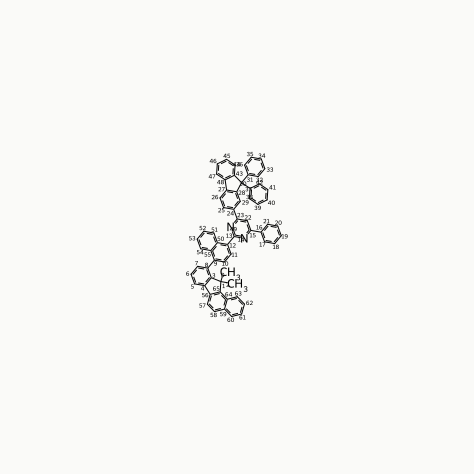 CC1(C)c2c(cccc2-c2ccc(-c3nc(-c4ccccc4)cc(-c4ccc5c(c4)C(c4ccccc4)(c4ccccc4)c4ccccc4-5)n3)c3ccccc23)-c2ccc3ccccc3c21